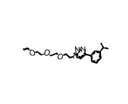 CCOCCOCCOCCn1cc(-c2cccc(C(C)C)c2)nn1